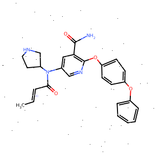 C/C=C/C(=O)N(c1cnc(Oc2ccc(Oc3ccccc3)cc2)c(C(N)=O)c1)C1CCNC1